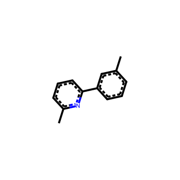 Cc1cccc(-c2cccc(C)n2)c1